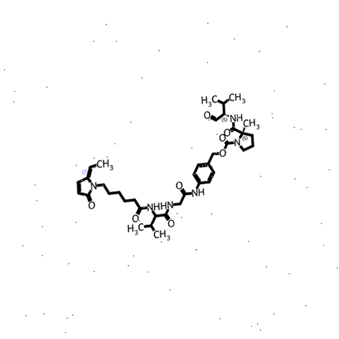 C/C=C1/C=CC(=O)N1CCCCCC(=O)NC(C(=O)NCC(=O)Nc1ccc(COC(=O)N2CCC[C@@]2(C)C(=O)N[C@H](C=O)C(C)C)cc1)C(C)C